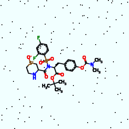 CN(C)C(=O)Oc1ccc(C[C@@H](C(=O)OC(C)(C)C)N(C(=O)C2C[S+]([O-])CCN2)S(=O)(=O)c2ccc(F)cc2F)cc1